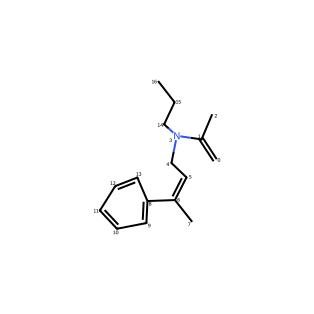 C=C(C)N(C/C=C(/C)c1ccccc1)CCC